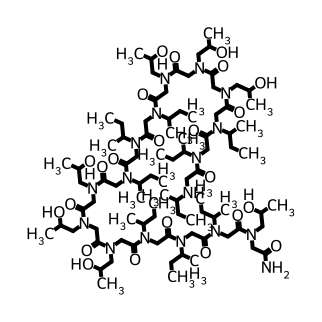 CCC(C)NCC(=O)N(CC(=O)N(CC(=O)N(CC(=O)N(CC(=O)N(CC(=O)N(CC(=O)N(CC(=O)N(CC(=O)N(CC(=O)N(CC(=O)N(CC(=O)N(CC(=O)N(CC(=O)N(CC(=O)N(CC(N)=O)CC(C)O)C(C)CC)C(C)CC)C(C)CC)CC(C)O)CC(C)O)CC(C)O)C(C)CC)C(C)CC)C(C)CC)CC(C)O)CC(C)O)CC(C)O)C(C)CC)C(C)CC